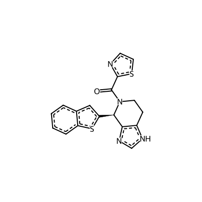 O=C(c1nccs1)N1CCc2[nH]cnc2[C@H]1c1cc2ccccc2s1